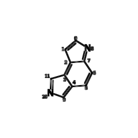 C1=Cc2c3c(ccc2=N1)=CN=C3